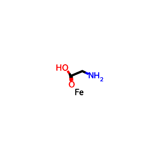 NCC(=O)O.[Fe]